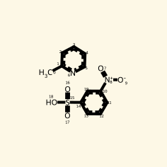 Cc1ccccn1.O=[N+]([O-])c1cccc(S(=O)(=O)O)c1